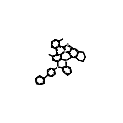 Cc1cccc2c1c1nc3cc4c(c5c3n1c1c3c(cc(C)c21)N(c1ccc(-c2ccccc2)cc1)c1ccccc1B53)CCCC4